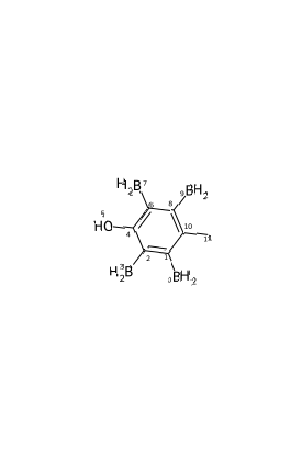 Bc1c(B)c(O)c(B)c(B)c1C